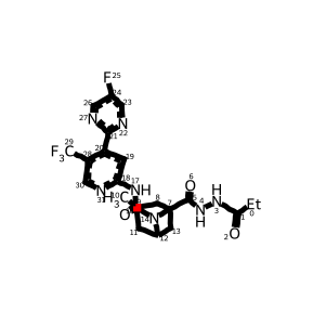 CCC(=O)NNC(=O)C12CC(C)CC(C1)N2C(=O)Nc1cc(-c2ncc(F)cn2)c(C(F)(F)F)cn1